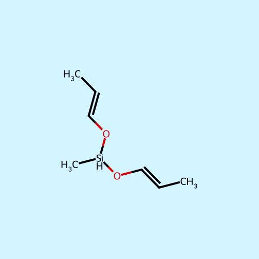 CC=CO[SiH](C)OC=CC